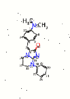 CN(C)c1ccc(/C=C2\C(=O)N=C3N2CCCN3c2ccccc2)cc1